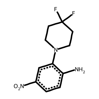 Nc1ccc([N+](=O)[O-])cc1N1CCC(F)(F)CC1